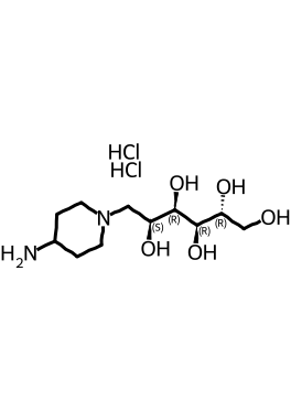 Cl.Cl.NC1CCN(C[C@H](O)[C@@H](O)[C@H](O)[C@H](O)CO)CC1